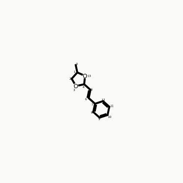 CC1COC(C=Cc2ccccc2)O1